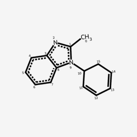 Cc1nc2ccccc2n1C1C=CC=CC1